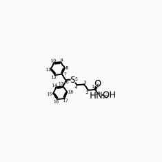 O=C(CCCSC(c1ccccc1)c1ccccc1)NO